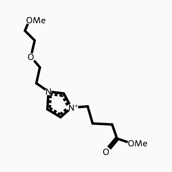 COCCOCCn1cc[n+](CCCC(=O)OC)c1